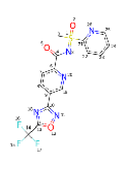 CS(=O)(=NC(=O)c1ccc(-c2noc(C(F)(F)F)n2)cn1)c1ccccn1